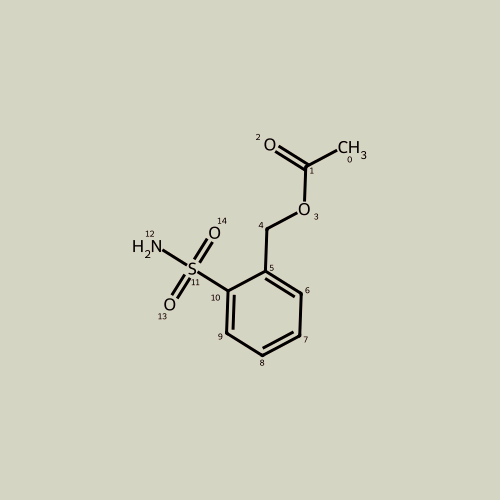 CC(=O)OCc1ccccc1S(N)(=O)=O